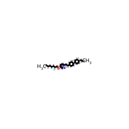 CCCCCCC(F)COc1ccc(CCC2CCC([C@H]3CC[C@H](CCC)CC3)CC2)nc1